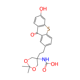 CC1(C)OCC(CCc2ccc3sc4cc(O)ccc4c(=O)c3c2)(NC(=O)O)CO1